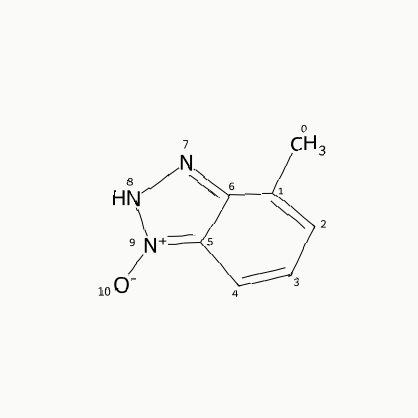 Cc1cccc2c1n[nH][n+]2[O-]